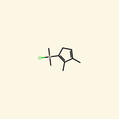 CC1=CCC([Si](C)(C)Cl)=C1C